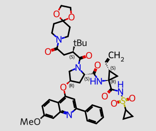 C=C[C@@H]1C[C@]1(NC(=O)[C@@H]1C[C@@H](Oc2cc(-c3ccccc3)nc3cc(OC)ccc23)CN1C(=O)[C@@H](CC(=O)N1CCC2(CC1)OCCO2)C(C)(C)C)C(=O)NS(=O)(=O)C1CC1